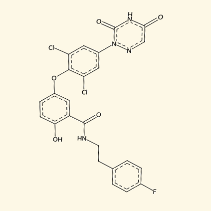 O=C(NCCc1ccc(F)cc1)c1cc(Oc2c(Cl)cc(-n3ncc(=O)[nH]c3=O)cc2Cl)ccc1O